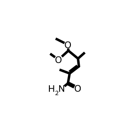 COC(OC)C(C)/C=C(\C)C(N)=O